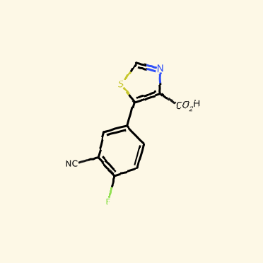 N#Cc1cc(-c2scnc2C(=O)O)ccc1F